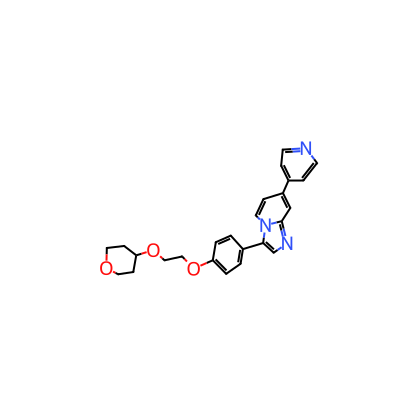 c1cc(-c2ccn3c(-c4ccc(OCCOC5CCOCC5)cc4)cnc3c2)ccn1